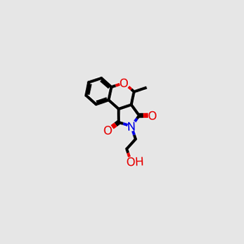 CC1Oc2ccccc2C2C(=O)N(CCO)C(=O)C12